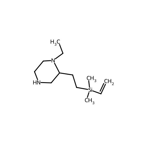 C=C[Si](C)(C)CCC1CNCCN1CC